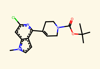 Cn1ccc2c(C3=CCN(C(=O)OC(C)(C)C)CC3)nc(Cl)cc21